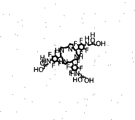 OC[C@@H](O)CNc1c(F)c(F)c(-c2c3nc(c4ccc([nH]4)c(-c4c(F)c(F)c(NC[C@H](O)CO)c(F)c4F)c4ccc([nH]4)c(-c4c(F)c(F)c(NC[C@H](O)CO)c(F)c4F)c4ccc2[nH]4)C=C3)c(F)c1F